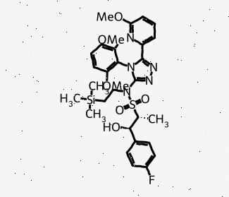 COc1cccc(-c2nnc(N(CC[Si](C)(C)C)S(=O)(=O)[C@H](C)[C@H](O)c3ccc(F)cc3)n2-c2c(OC)cccc2OC)n1